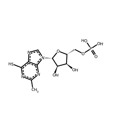 Cc1nc(S)c2ncn([C@@H]3O[C@H](COP(=O)(O)O)[C@@H](O)[C@H]3O)c2n1